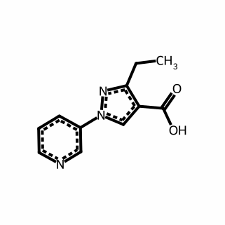 CCc1nn(-c2cccnc2)cc1C(=O)O